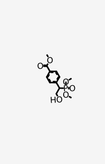 COC(=O)c1ccc(C(CO)P(=O)(OC)OC)cc1